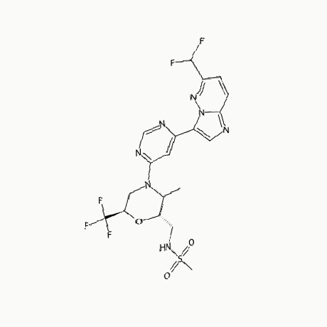 CC1[C@H](CNS(C)(=O)=O)O[C@@H](C(F)(F)F)CN1c1cc(-c2cnc3ccc(C(F)F)nn23)ncn1